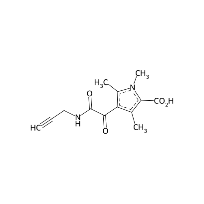 C#CCNC(=O)C(=O)c1c(C)c(C(=O)O)n(C)c1C